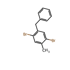 Cc1cc(Br)c(Cc2ccccc2)cc1Br